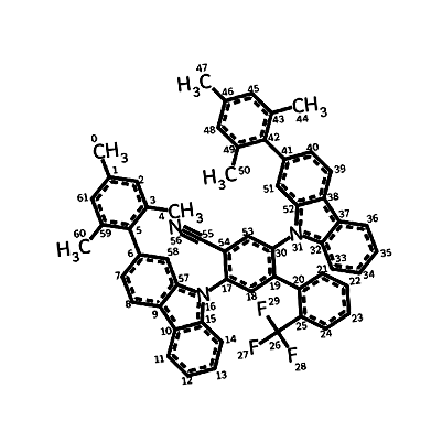 Cc1cc(C)c(-c2ccc3c4ccccc4n(-c4cc(-c5ccccc5C(F)(F)F)c(-n5c6ccccc6c6ccc(-c7c(C)cc(C)cc7C)cc65)cc4C#N)c3c2)c(C)c1